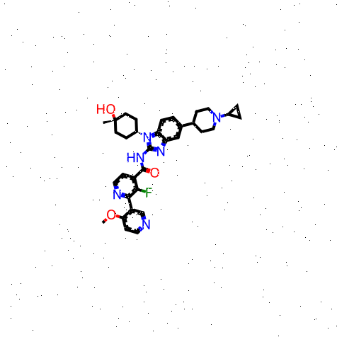 COc1ccncc1-c1nccc(C(=O)Nc2nc3cc(C4CCN(C5CC5)CC4)ccc3n2[C@H]2CC[C@@](C)(O)CC2)c1F